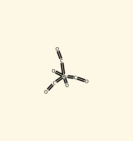 O=[C]=[Ru](=[O])(=[O])(=[C]=O)=[C]=O